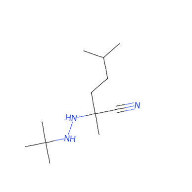 CC(C)CCC(C)(C#N)NNC(C)(C)C